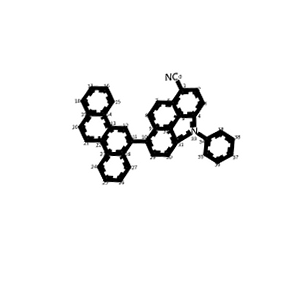 N#Cc1ccc2c3c1ccc1c(-c4cc5c6ccccc6ccc5c5ccccc45)ccc(c13)n2-c1ccccc1